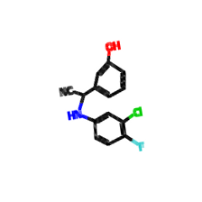 N#CC(Nc1ccc(F)c(Cl)c1)c1cccc(O)c1